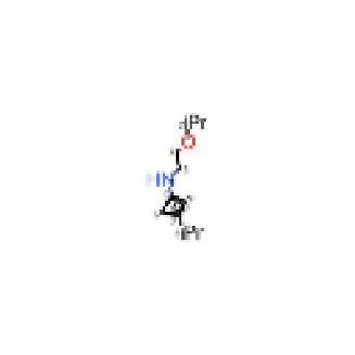 CC(C)OCCNC12CC(C(C)C)(C1)C2